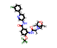 C[C@@H](C(=O)Nc1cc(C(=O)Nc2ccc(-c3cccc(F)c3)nc2)ccc1OC(F)(F)F)N1C[C@@H]2C[C@H]1CO2